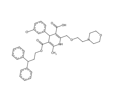 CC1=C(C(=O)OCCC(c2ccccc2)c2ccccc2)C(c2cccc(Cl)c2)C(C(=O)O)=C(COCCN2CCOCC2)N1